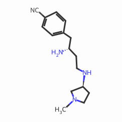 CN1CC[C@H](NCC[C@H](N)Cc2ccc(C#N)cc2)C1